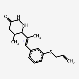 C=CCSc1cccc(/C=C(\C)C2NNC(=O)CC2C)c1